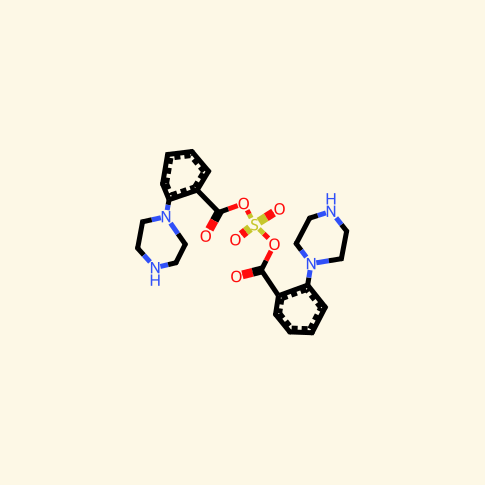 O=C(OS(=O)(=O)OC(=O)c1ccccc1N1CCNCC1)c1ccccc1N1CCNCC1